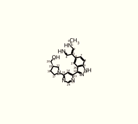 CN/C=C(\C=N)c1ccc2[nH]nc(-c3cc(N4CC[C@@H](CO)C4)ncn3)c2c1